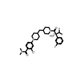 CN(C)C(=O)c1ccc(N2CCC(CC3CCN(C(=O)[C@](O)(c4cccc(F)c4)C(F)F)CC3)CC2)cc1Cl